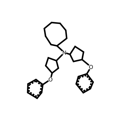 c1ccc(OC2CCC(N(C3CCCCCCC3)C3CCC(Oc4ccccc4)C3)C2)cc1